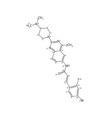 Cc1nc(N2CCC(N(C)C)CC2)nc2ccc(NC(=O)C=Cc3ccc(Br)cc3F)cc12